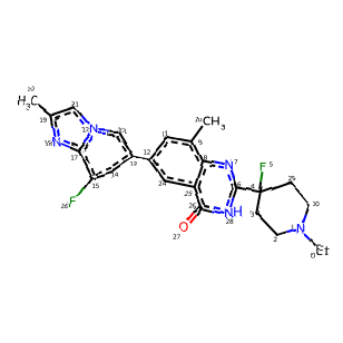 CCN1CCC(F)(c2nc3c(C)cc(-c4cc(F)c5nc(C)cn5c4)cc3c(=O)[nH]2)CC1